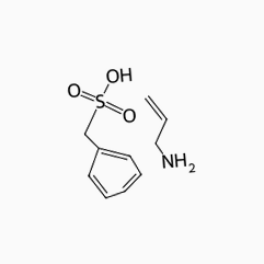 C=CCN.O=S(=O)(O)Cc1ccccc1